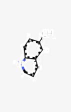 Cc1ccc2nc[c]cc2c1